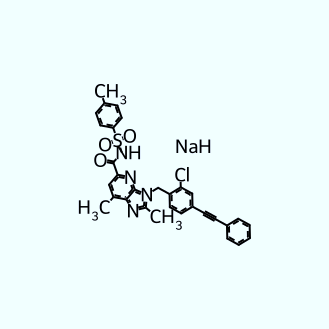 Cc1ccc(S(=O)(=O)NC(=O)c2cc(C)c3nc(C)n(Cc4ccc(C#Cc5ccccc5)cc4Cl)c3n2)cc1.[NaH]